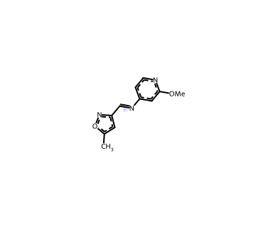 COc1cc(/N=C/c2cc(C)on2)ccn1